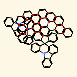 c1ccc(-c2cccc(N(c3ccccc3-c3ccc4c(c3)C3(c5ccccc5-4)c4ccccc4-n4c5ccccc5c5cccc3c54)c3ccccc3-c3ccccc3-c3cccc(-c4ccc(-c5ccccc5N(c5ccccc5-c5ccc6c(c5)C5(c7ccccc7-6)c6ccccc6-n6c7ccccc7c7cccc5c76)c5ccccc5-c5ccccc5-c5ccccc5)cc4)c3)c2)cc1